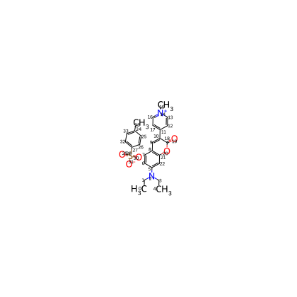 CCN(CC)c1ccc2cc(-c3cc[n+](C)cc3)c(=O)oc2c1.Cc1ccc(S(=O)(=O)[O-])cc1